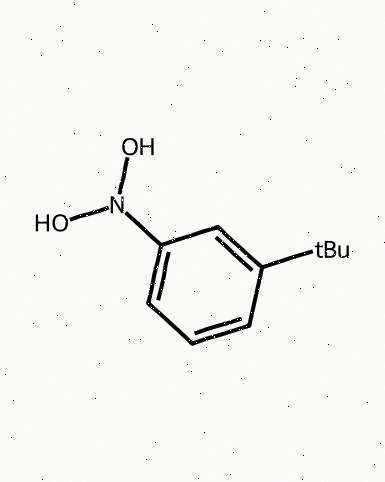 CC(C)(C)c1cccc(N(O)O)c1